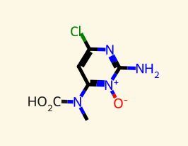 CN(C(=O)O)c1cc(Cl)nc(N)[n+]1[O-]